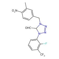 Cc1cc(CN2N=NN(c3cccc(C(F)(F)F)c3F)C2C=O)ccc1[N+](=O)[O-]